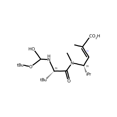 C/C(=C\[C@H](C(C)C)N(C)C(=O)[C@@H](NC(O)OC(C)(C)C)C(C)(C)C)C(=O)O